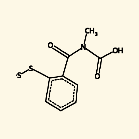 CN(C(=O)O)C(=O)c1ccccc1S[S]